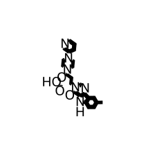 Cc1ccc2[nH]c3c(=O)n(CCC(=O)N4CCN(c5cccnc5)CC4)cnc3c2c1.O=CO